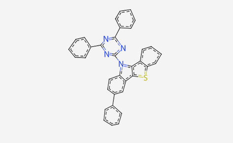 c1ccc(-c2ccc3c(c2)c2sc4ccccc4c2n3-c2nc(-c3ccccc3)nc(-c3ccccc3)n2)cc1